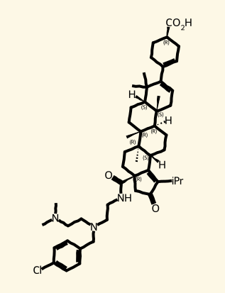 CC(C)C1=C2[C@H]3CC[C@@H]4[C@@]5(C)CC=C(C6=CC[C@H](C(=O)O)CC6)C(C)(C)[C@H]5CC[C@@]4(C)[C@]3(C)CC[C@@]2(C(=O)NCCN(CCN(C)C)Cc2ccc(Cl)cc2)CC1=O